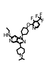 CCNc1cc2c(cn1)c(C1CCN(C(C)C)CC1)nn2C1CCC(Oc2nccc(C(F)(F)F)c2F)CC1